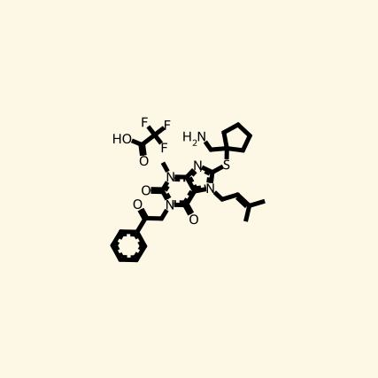 CC(C)=CCn1c(SC2(CN)CCCC2)nc2c1c(=O)n(CC(=O)c1ccccc1)c(=O)n2C.O=C(O)C(F)(F)F